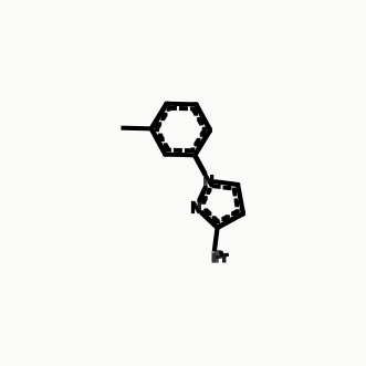 Cc1cccc(-n2ccc(C(C)C)n2)c1